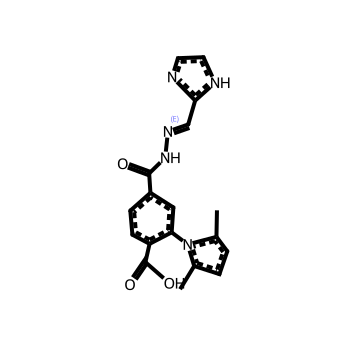 Cc1ccc(C)n1-c1cc(C(=O)N/N=C/c2ncc[nH]2)ccc1C(=O)O